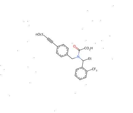 CCCCCCCCC#Cc1ccc(CN(C(=O)C(=O)O)C(CC)c2ccccc2C(F)(F)F)cc1